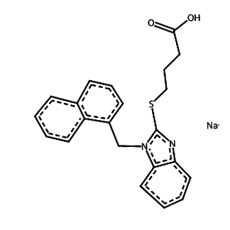 O=C(O)CCCSc1nc2ccccc2n1Cc1cccc2ccccc12.[Na]